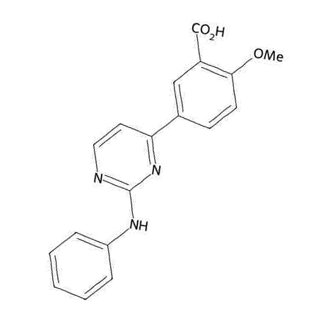 COc1ccc(-c2ccnc(Nc3ccccc3)n2)cc1C(=O)O